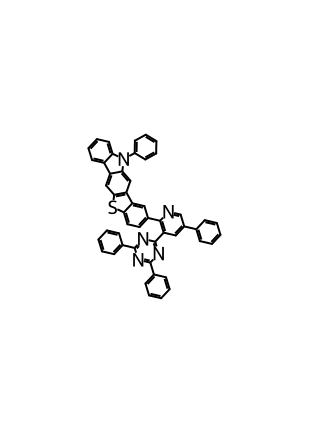 c1ccc(-c2cnc(-c3ccc4sc5cc6c7ccccc7n(-c7ccccc7)c6cc5c4c3)c(-c3nc(-c4ccccc4)nc(-c4ccccc4)n3)c2)cc1